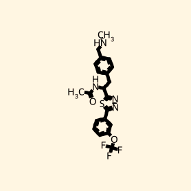 CNCc1ccc(CC(NC(C)=O)c2nnc(-c3cccc(OC(F)(F)F)c3)s2)cc1